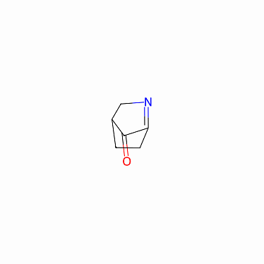 O=C1C2=NCC1CC2